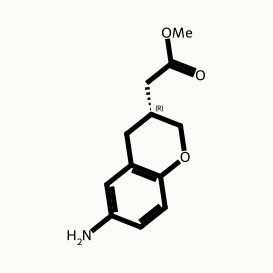 COC(=O)C[C@@H]1COc2ccc(N)cc2C1